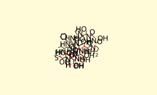 CC[C@H](C)[C@H](N)C(=O)N1CCC[C@H]1C(=O)N[C@@H](CO)C(=O)N[C@H](C(=O)N1CCC[C@H]1C(=O)N[C@@H](Cc1ccccc1)C(=O)N1CCC[C@H]1C(=O)N[C@@H](CO)C(=O)N[C@H](C(=O)N[C@H](C(=O)N[C@H](C(=O)N[C@@H](C)C(=O)N[C@H](C(=O)N[C@H](C(=O)N[C@H](C(=O)N[C@@H](CCSC)C(=O)O)[C@@H](C)O)[C@@H](C)O)[C@@H](C)O)C(C)C)[C@@H](C)O)[C@@H](C)O)[C@@H](C)O